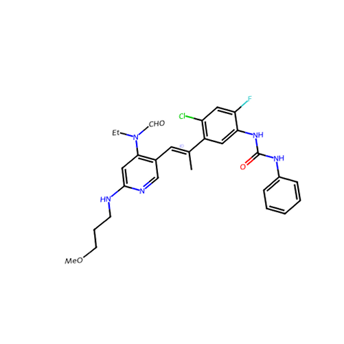 CCN(C=O)c1cc(NCCCOC)ncc1/C=C(\C)c1cc(NC(=O)Nc2ccccc2)c(F)cc1Cl